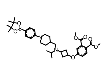 COC(=O)c1ccc(OC2CC(N(CC3CCN(c4ccc(B5OC(C)(C)C(C)(C)O5)cc4)CC3)C(C)C)C2)cc1C(=O)OC